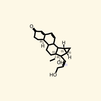 CC[C@]12CCC3C(C=CC4=CC(=O)CC[C@@H]43)C1[C@@H]1C[C@@H]1[C@@]2(O)/C=C\CO